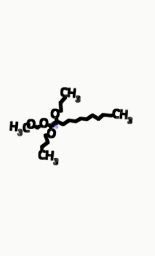 CCCCCCCCCC/C(OCCCC)=C(\OCCCC)OCOC